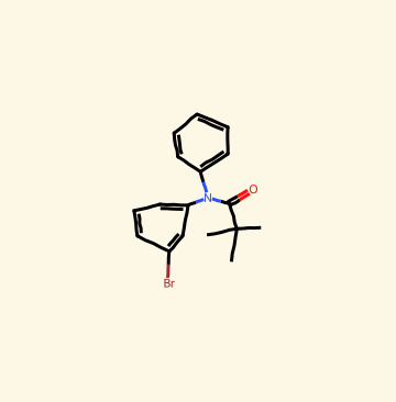 CC(C)(C)C(=O)N(c1ccccc1)c1cccc(Br)c1